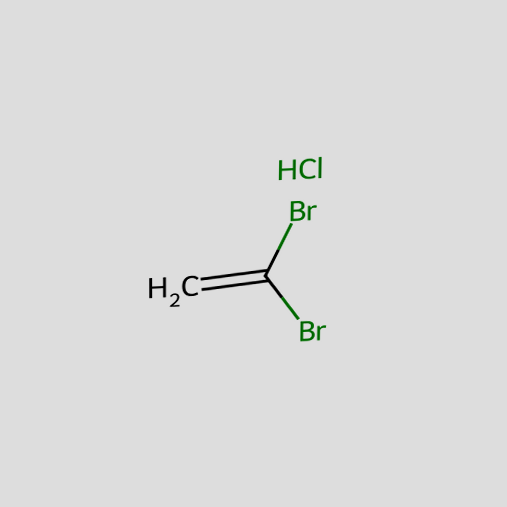 C=C(Br)Br.Cl